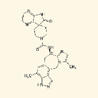 Cc1cc2c(c3cn[nH]c13)Cn1c(C)cnc1[C@H](NC(=O)N1CCC3(CC1)C(=O)Nc1nccnc13)C2